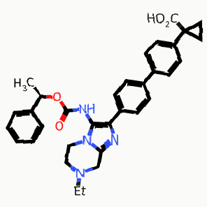 CCN1CCn2c(nc(-c3ccc(-c4ccc(C5(C(=O)O)CC5)cc4)cc3)c2NC(=O)O[C@H](C)c2ccccc2)C1